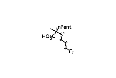 CCCCCC(C)(SCCCF)C(=O)O